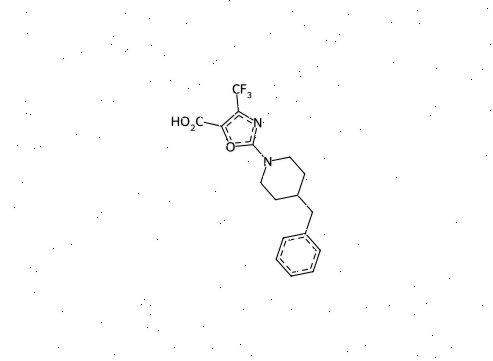 O=C(O)c1oc(N2CCC(Cc3ccccc3)CC2)nc1C(F)(F)F